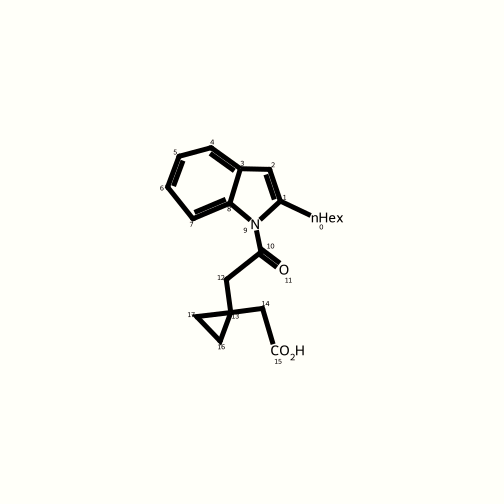 CCCCCCc1cc2ccccc2n1C(=O)CC1(CC(=O)O)CC1